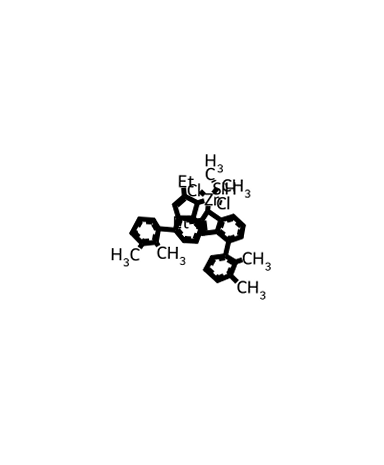 CCC1=Cc2c(-c3cccc(C)c3C)cccc2[CH]1[Zr]([Cl])([Cl])([CH]1C(CC)=Cc2c(-c3cccc(C)c3C)cccc21)[SiH](C)C